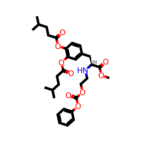 COC(=O)[C@H](Cc1ccc(OC(=O)CCC(C)C)c(OC(=O)CCC(C)C)c1)NCCOC(=O)Oc1ccccc1